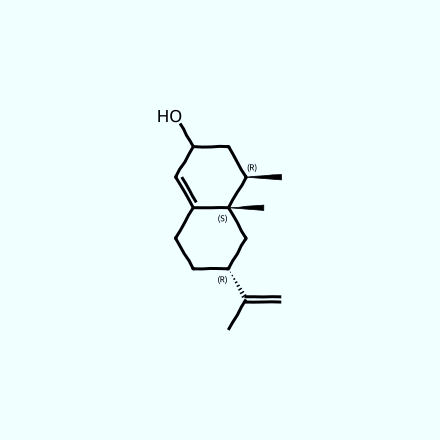 C=C(C)[C@@H]1CCC2=CC(O)C[C@@H](C)[C@]2(C)C1